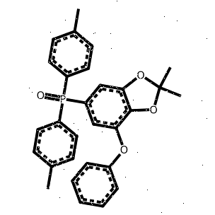 Cc1ccc(P(=O)(c2ccc(C)cc2)c2cc(Oc3ccccc3)c3c(c2)OC(C)(C)O3)cc1